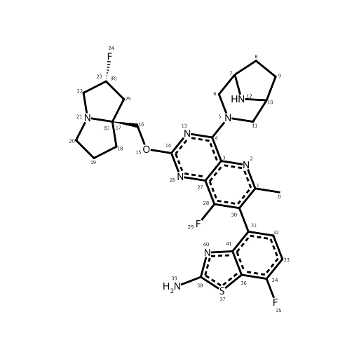 Cc1nc2c(N3CC4CCC(C3)N4)nc(OC[C@@]34CCCN3C[C@H](F)C4)nc2c(F)c1-c1ccc(F)c2sc(N)nc12